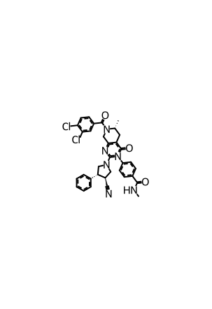 CNC(=O)c1ccc(-n2c(N3C[C@@H](C#N)[C@H](c4ccccc4)C3)nc3c(c2=O)C[C@@H](C)N(C(=O)c2ccc(Cl)c(Cl)c2)C3)cc1